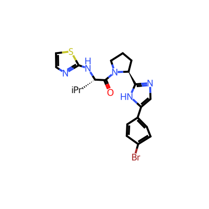 CC(C)[C@H](Nc1nccs1)C(=O)N1CCC[C@H]1c1ncc(-c2ccc(Br)cc2)[nH]1